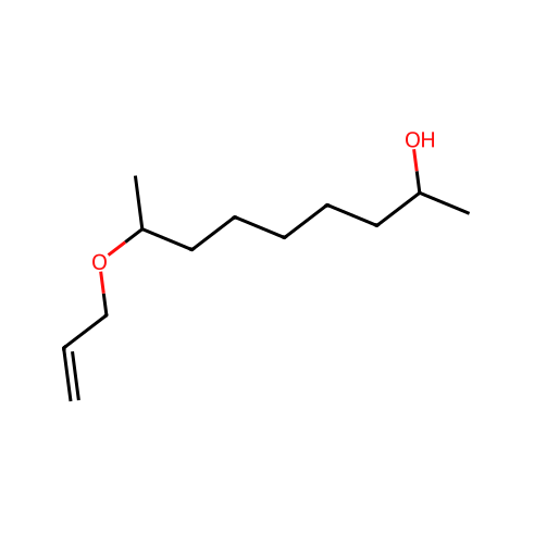 C=CCOC(C)CCCCCC(C)O